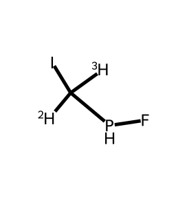 [2H]C([3H])(I)PF